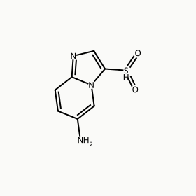 Nc1ccc2ncc([SH](=O)=O)n2c1